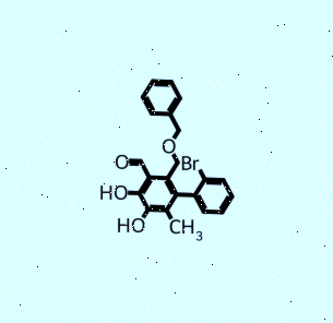 Cc1c(O)c(O)c(C=O)c(COCc2ccccc2)c1-c1ccccc1Br